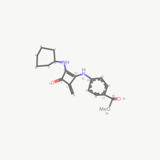 C=C1C(=O)C(NC2CCCCC2)=C1Nc1ccc(C(=O)OC)cc1